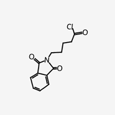 O=C(Cl)CCCCN1C(=O)c2ccccc2C1=O